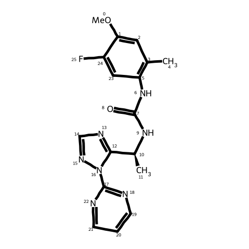 COc1cc(C)c(NC(=O)N[C@@H](C)c2ncnn2-c2ncccn2)cc1F